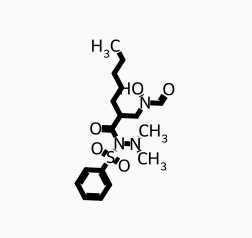 CCCCCC(CN(O)C=O)C(=O)N(N(C)C)S(=O)(=O)c1ccccc1